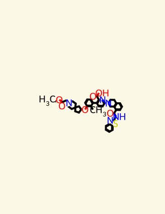 CCOC(=O)CN1CCC2(CCC(Oc3cccc(-c4ccc(N5CCc6cccc(C(=O)Nc7nc8ccccc8s7)c6C5)nc4C(=O)O)c3C)C2)CC1